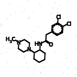 CN1CCN(C2CCCCC2NC(=O)Cc2ccc(Cl)c(Cl)c2)CC1